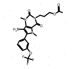 Bc1c(-c2cccc(OC(F)(F)F)c2)n(C)c2c(=O)n(CCCOC(C)=O)c(=O)n(C)c12